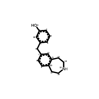 Oc1cccc(Cc2ccc3c(c2)CCNCC3)c1